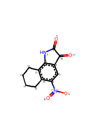 O=C1Nc2c(cc([N+](=O)[O-])c3c2CCCC3)C1=O